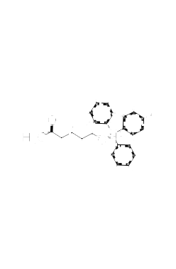 CC(=O)CCCCO[Si](c1ccccc1)(c1ccccc1)c1ccccc1